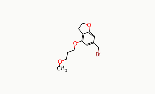 COCCCOc1cc(CBr)cc2c1CCO2